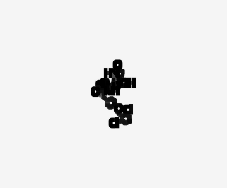 COC(=O)[C@H](Cc1ccc(OCc2c(Cl)cccc2Cl)cc1)NC(=O)CC[C@@]1(C(=O)O)CCC(=O)N1